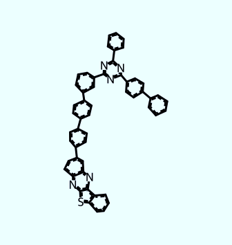 c1ccc(-c2ccc(-c3nc(-c4ccccc4)nc(-c4cccc(-c5ccc(-c6ccc(-c7ccc8nc9sc%10ccccc%10c9nc8c7)cc6)cc5)c4)n3)cc2)cc1